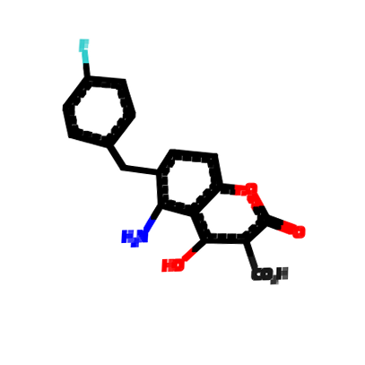 Nc1c(Cc2ccc(F)cc2)ccc2oc(=O)c(C(=O)O)c(O)c12